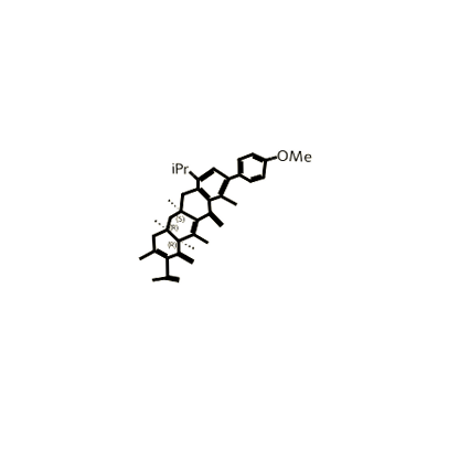 C=C(C)C1=C(C)C[C@@]2(C)C[C@@]3(C)Cc4c(C(C)C)cc(-c5ccc(OC)cc5)c(C)c4C(=C)C3=C(C)[C@@]2(C)C1=C